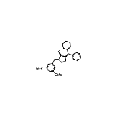 COc1cc(/C=C2\CC/C(=C(\c3ccccc3)C3CCCCC3)C2=O)cc(OC)c1